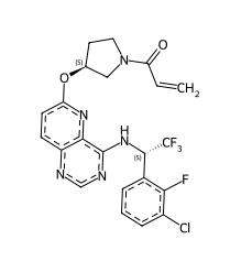 C=CC(=O)N1CC[C@H](Oc2ccc3ncnc(N[C@@H](c4cccc(Cl)c4F)C(F)(F)F)c3n2)C1